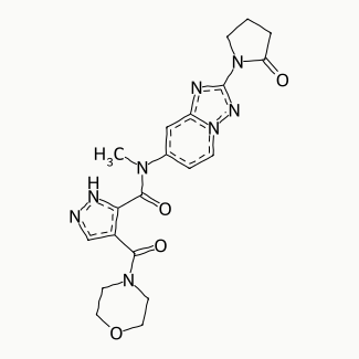 CN(C(=O)c1[nH]ncc1C(=O)N1CCOCC1)c1ccn2nc(N3CCCC3=O)nc2c1